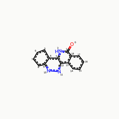 O=c1[nH]c2c3ccccc3nnc2c2ccccc12